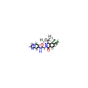 CC(C)c1nn(CC(=O)Nc2ccn3ccnc3c2)c(=O)c2ccc(C(F)(F)F)cc12